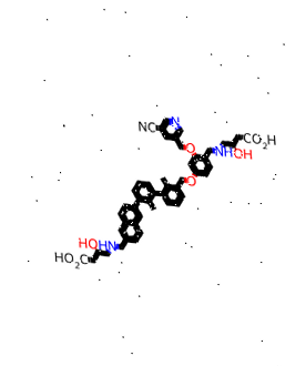 Cc1c(COc2ccc(CNC[C@@H](O)CC(=O)O)c(OCc3cncc(C#N)c3)c2)cccc1-c1cccc(-c2ccc3cc(CNC[C@@H](O)CC(=O)O)ccc3c2)c1C